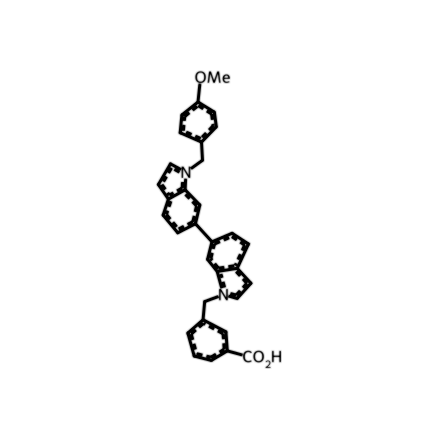 COc1ccc(Cn2ccc3ccc(-c4ccc5ccn(Cc6cccc(C(=O)O)c6)c5c4)cc32)cc1